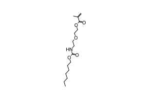 C=C(C)C(=O)OCCOCCNC(=O)OCCCCCCC